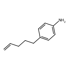 C=CCCCc1ccc(N)cc1